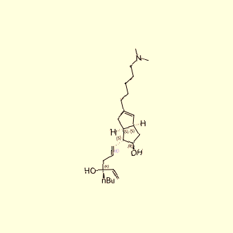 C=C[C@](O)(C/C=C/[C@@H]1[C@H]2CC(CCCCCN(C)C)=C[C@H]2C[C@H]1O)CCCC